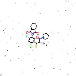 CC(C(=O)N1CCCCC1)C(=S)c1cc(N2C(=O)C3=C(CCCC3)C2=O)c(F)cc1Cl